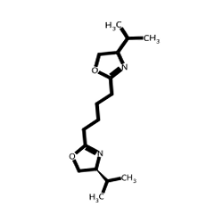 CC(C)C1COC(CCCCC2=N[C@@H](C(C)C)CO2)=N1